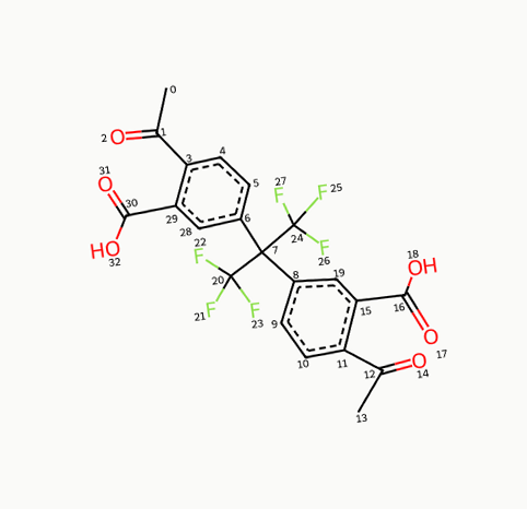 CC(=O)c1ccc(C(c2ccc(C(C)=O)c(C(=O)O)c2)(C(F)(F)F)C(F)(F)F)cc1C(=O)O